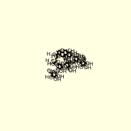 C[C@H](CC[C@@H](O[C@@H]1O[C@H](CO[C@@H]2O[C@H](CO)[C@@H](O)[C@H](O)[C@H]2O)[C@@H](O)[C@H](O)[C@H]1O[C@@H]1O[C@H](CO)[C@@H](O)[C@H](O)[C@H]1O)C(C)(C)O)C1CC[C@@]2(C)C3CC=C4C(CC[C@H](O[C@@H]5O[C@H](CO)[C@@H](O[C@H]6O[C@H](CO)[C@@H](O)[C@H](O)[C@H]6O)[C@H](O)[C@H]5O)C4(C)C)[C@]3(C)[C@H](O)C[C@]12C